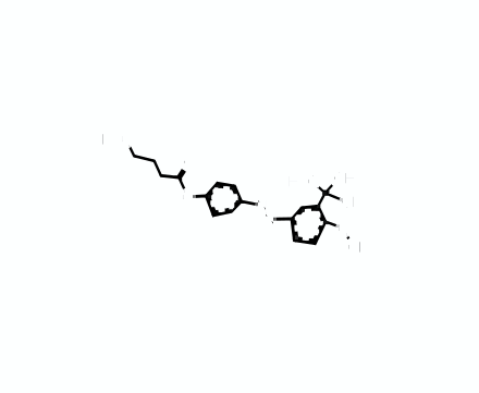 CCCCC(=O)Oc1ccc(N=Nc2ccc(OC)c(C(C)(C)C)c2)cc1